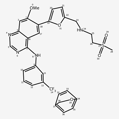 COc1cc2ncnc(Nc3cccc(C(F)(F)F)c3)c2cc1-c1ccc(CNCCS(C)(=O)=O)o1.c1cc2ccc1CO2